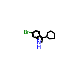 Brc1ccc2c(C3CCCCC3)c[nH]c2c1